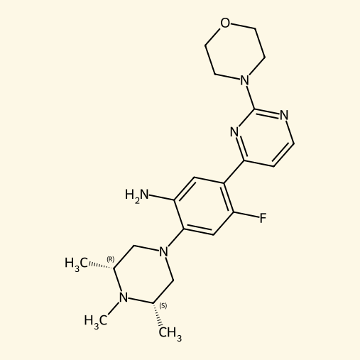 C[C@@H]1CN(c2cc(F)c(-c3ccnc(N4CCOCC4)n3)cc2N)C[C@H](C)N1C